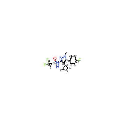 Cn1nc(NC(=O)[C@@H]2CC2(F)F)c(C2CCC2)c1-c1ccc(F)cc1